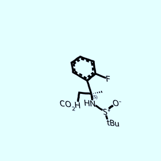 CC(C)(C)[S+]([O-])N[C@@](C)(CC(=O)O)c1ccccc1F